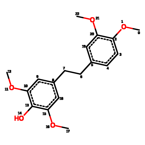 COc1ccc(CCc2cc(OC)c(O)c(OC)c2)cc1OC